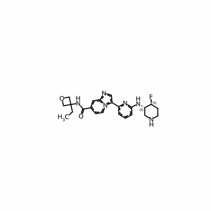 CCC1(NC(=O)c2ccn3c(-c4cccc(N[C@H]5CNCC[C@@H]5F)n4)cnc3c2)COC1